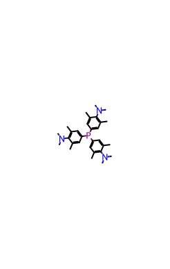 Cc1cc(P(c2cc(C)c(N(C)C)c(C)c2)c2cc(C)c(N(C)C)c(C)c2)cc(C)c1N(C)C